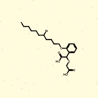 CCCCCCC(Br)CCCCOc1ccccc1C(SCC(=O)O)C(=O)O